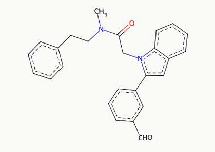 CN(CCc1ccccc1)C(=O)Cn1c(-c2cccc(C=O)c2)cc2ccccc21